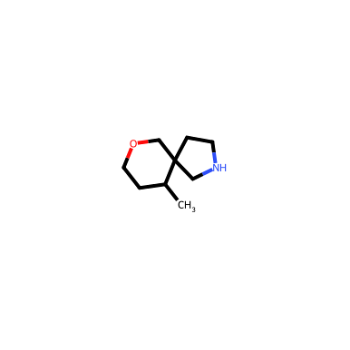 CC1CCOCC12CCNC2